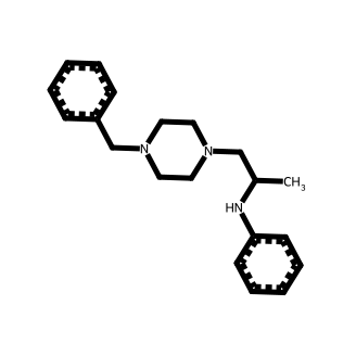 CC(CN1CCN(Cc2ccccc2)CC1)Nc1ccccc1